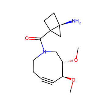 CO[C@H]1C#CCCN(C(=O)C23CC[C@]2(N)C3)C[C@@H]1OC